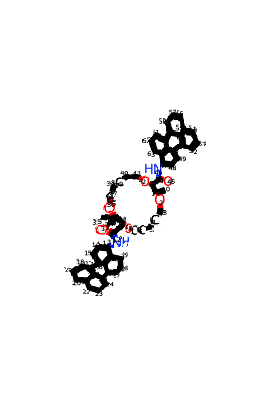 C=C1OCCCCCOC(C(=O)Nc2ccc3c4cccc5cccc(c6cccc2c63)c54)C(C)(C)OCCCCCOC1C(=O)Nc1ccc2c3cccc4cccc(c5cccc1c52)c43